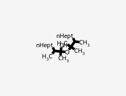 CCCCCCCC(C)C(C)(C)OC(C)(C)C(C)CCCCCCC